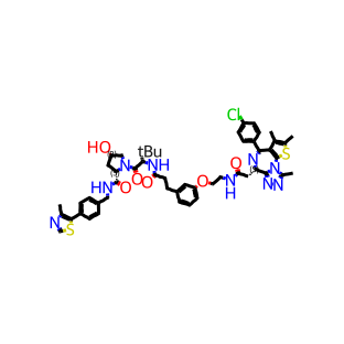 Cc1ncsc1-c1ccc(CNC(=O)[C@@H]2C[C@@H](O)CN2C(=O)C(NC(=O)CCc2cccc(OCCNC(=O)C[C@@H]3N=C(c4ccc(Cl)cc4)c4c(sc(C)c4C)-n4c(C)nnc43)c2)C(C)(C)C)cc1